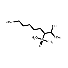 CCCCCCCCCCCCCCCC(C(O)CCCCCCCCCC)P(C)(C)=O